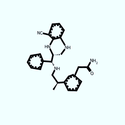 C[C@@H](CN[C@H](c1ccccc1)[C@H]1CNc2cccc(C#N)c2N1)c1cccc(CC(N)=O)c1